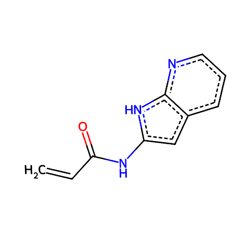 C=CC(=O)Nc1cc2cccnc2[nH]1